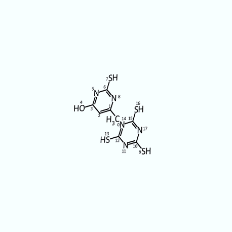 Cc1cc(O)nc(S)n1.Sc1nc(S)nc(S)n1